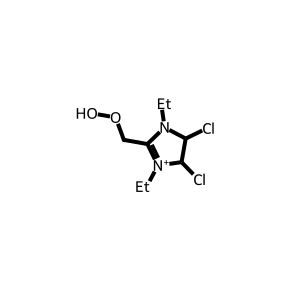 CCN1C(COO)=[N+](CC)C(Cl)C1Cl